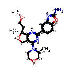 COCC[C@]1(C)OCc2c(N3CCOC[C@@H]3C)nc(-c3ccc4oc(N)nc4c3)nc21